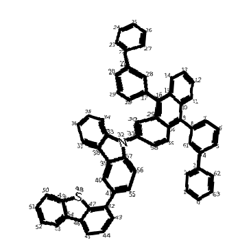 c1ccc(-c2cccc(-c3c4ccccc4c(-c4cccc(-c5ccccc5)c4)c4cc(-n5c6ccccc6c6cc(-c7cccc8c7sc7ccccc78)ccc65)ccc34)c2)cc1